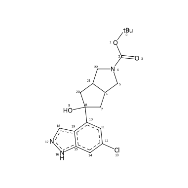 CC(C)(C)OC(=O)N1CC2CC(O)(c3cc(Cl)cc4[nH]ncc34)CC2C1